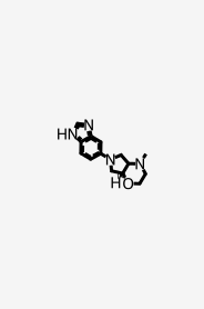 CN1CCO[C@@H]2CN(c3ccc4[nH]cnc4c3)CC21